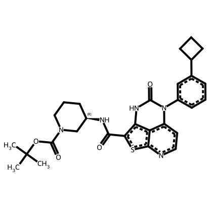 CC(C)(C)OC(=O)N1CCC[C@@H](NC(=O)c2sc3nccc4c3c2NC(=O)N4c2cccc(C3CCC3)c2)C1